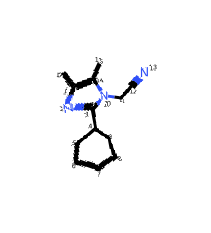 Cc1nc(C2CCCCC2)n(CC#N)c1C